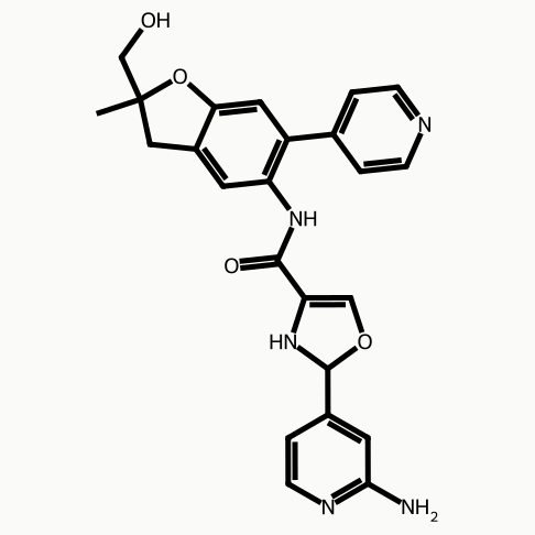 CC1(CO)Cc2cc(NC(=O)C3=COC(c4ccnc(N)c4)N3)c(-c3ccncc3)cc2O1